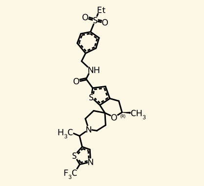 CCS(=O)(=O)c1ccc(CNC(=O)c2cc3c(s2)C2(CCN(C(C)c4cnc(C(F)(F)F)s4)CC2)O[C@H](C)C3)cc1